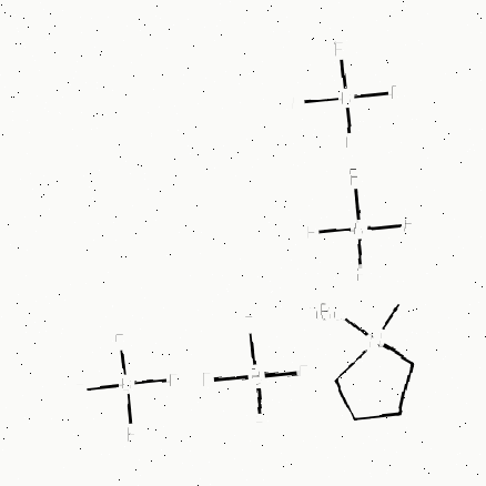 CCCC[N+]1(C)CCCC1.F[B-](F)(F)F.F[B-](F)(F)F.F[B-](F)(F)F.F[B-](F)(F)F